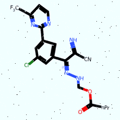 CCCC(=O)OCN/N=C(\C(=N)C#N)c1cc(Cl)cc(-c2nccc(C(F)(F)F)n2)c1